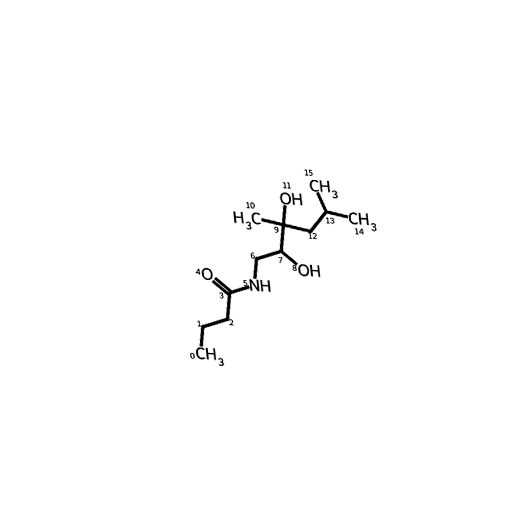 CCCC(=O)NCC(O)C(C)(O)CC(C)C